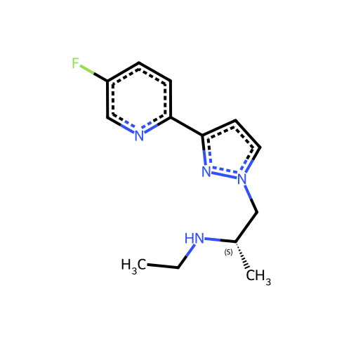 CCN[C@@H](C)Cn1ccc(-c2ccc(F)cn2)n1